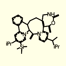 C=C1NCC2=C(C(=C)O1)c1cc(C(C)C(C)C)cc[n+]1C(=C)C1C(CC2)c2ccccc2-c2cc(C(C)C)c([Si](C)(C)C)c[n+]21